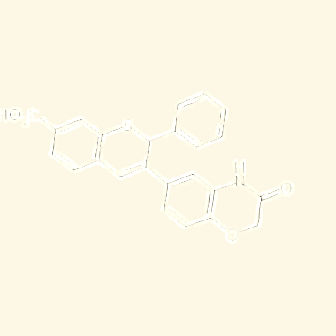 O=C1COc2ccc(C3=Cc4ccc(C(=O)O)cc4SC3c3ccccc3)cc2N1